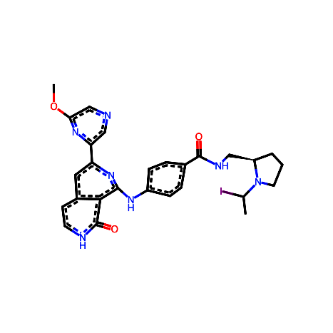 COc1cncc(-c2cc3cc[nH]c(=O)c3c(Nc3ccc(C(=O)NC[C@H]4CCCN4C(C)I)cc3)n2)n1